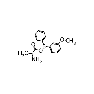 COc1cccc(B(OC(=O)C(C)N)c2ccccc2)c1